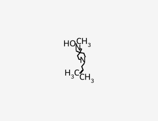 CC(C)=CCCN1CCC2(CC1)CN(C(C)O)C2